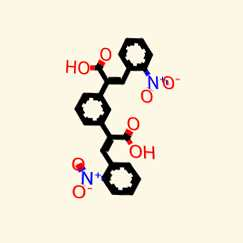 O=C(O)C(=Cc1ccccc1[N+](=O)[O-])c1cccc(C(=Cc2ccccc2[N+](=O)[O-])C(=O)O)c1